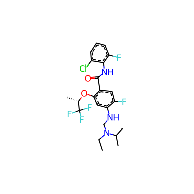 CCN(CNc1cc(O[C@@H](C)C(F)(F)F)c(C(=O)Nc2c(F)cccc2Cl)cc1F)C(C)C